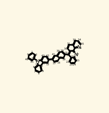 c1ccc(-n2c3ccccc3c3cc(-c4ccc5cc(-c6c7ccccc7nc7c6ccc6cccnc67)ccc5c4)ccc32)cc1